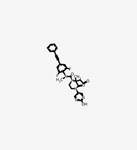 CN(C(=O)N1CCN(c2cnc(O)nc2)C(=O)C1(C)CC=O)c1c(F)cc(C#Cc2ccccc2)cc1F